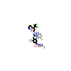 CNC(=O)c1ccc(C[C@@H](CNC(=O)CC(c2ncccc2F)C2(C(F)(F)F)CC2)N(C)C)c(Cl)c1